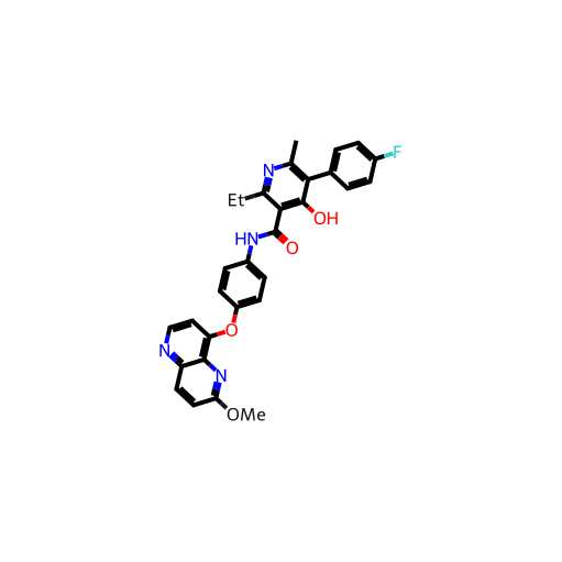 CCc1nc(C)c(-c2ccc(F)cc2)c(O)c1C(=O)Nc1ccc(Oc2ccnc3ccc(OC)nc23)cc1